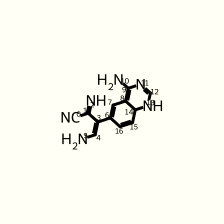 N#CC(=N)/C(=C\N)C1=CC2=C(N)N=CNC2C=C1